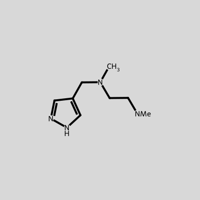 CNCCN(C)Cc1cn[nH]c1